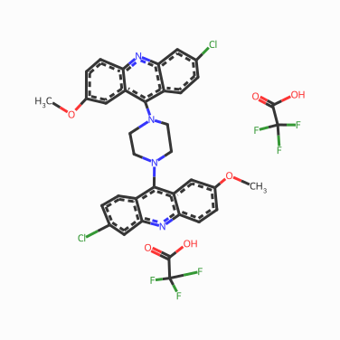 COc1ccc2nc3cc(Cl)ccc3c(N3CCN(c4c5ccc(Cl)cc5nc5ccc(OC)cc45)CC3)c2c1.O=C(O)C(F)(F)F.O=C(O)C(F)(F)F